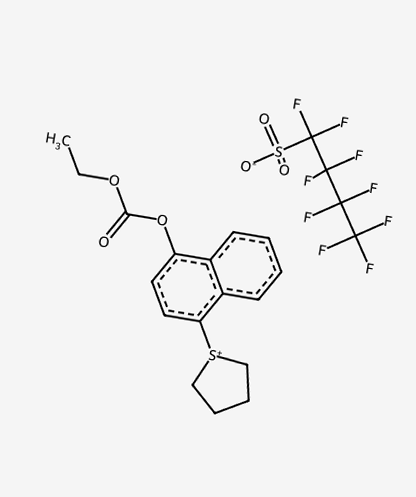 CCOC(=O)Oc1ccc([S+]2CCCC2)c2ccccc12.O=S(=O)([O-])C(F)(F)C(F)(F)C(F)(F)C(F)(F)F